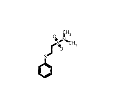 CN(C)S(=O)(=O)CCSc1ccccc1